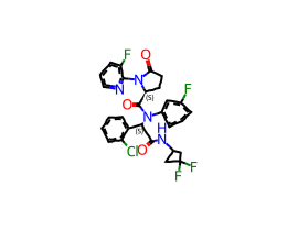 O=C(NC1CC(F)(F)C1)[C@H](c1ccccc1Cl)N(C(=O)[C@@H]1CCC(=O)N1c1ncccc1F)c1cccc(F)c1